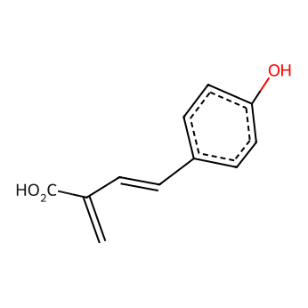 C=C(C=Cc1ccc(O)cc1)C(=O)O